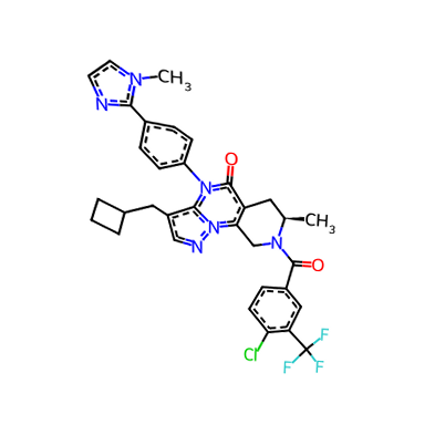 C[C@@H]1Cc2c(n3ncc(CC4CCC4)c3n(-c3ccc(-c4nccn4C)cc3)c2=O)CN1C(=O)c1ccc(Cl)c(C(F)(F)F)c1